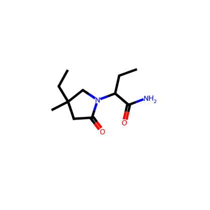 CCC(C(N)=O)N1CC(C)(CC)CC1=O